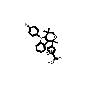 CC1(C)COC(C)(c2csc(C(=O)O)c2)c2c1n(-c1ccc(F)cc1)c1cccc(O)c21